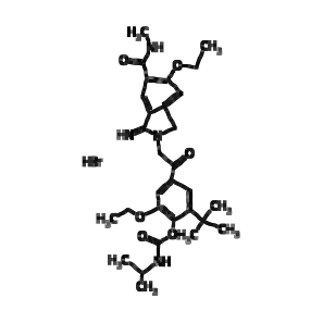 Br.CCOc1cc2c(cc1C(=O)NC)C(=N)N(CC(=O)c1cc(OCC)c(OC(=O)NC(C)C)c(C(C)(C)C)c1)C2